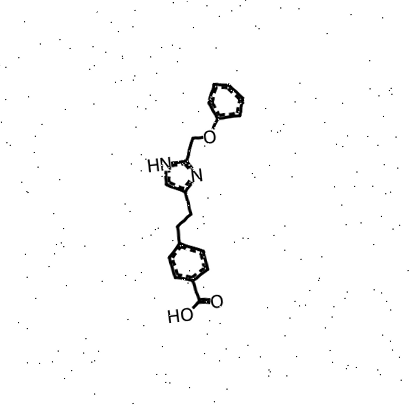 O=C(O)c1ccc(CCc2c[nH]c(COc3ccccc3)n2)cc1